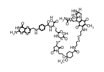 COC1(OCCN2C(=O)CC(SC[C@H](NC(=O)CC[C@H](NC(=O)c3ccc(NCc4cnc5nc(N)[nH]c(=O)c5n4)cc3)C(=O)O)C(=O)O)C2=O)CCC(C(=O)NCCSSCCNC2=C(C)C(=O)C3=C(C2=O)[C@@H](COC(N)=O)[C@@]2(OC)[C@H]4N[C@H]4CN32)CC1